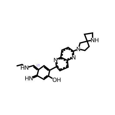 CCN/C=C1/C=C(c2ccc3nc(N4CCC5(CCN5)C4)ccc3n2)C(O)=CC1=N